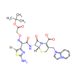 CC(C)(C)OC(=O)CO/N=C(\C(=O)N[C@@H]1C(=O)N2C(C(=O)[O-])=C(Cn3cc[n+]4ccccc34)CS[C@H]12)c1nc(N)sc1Br